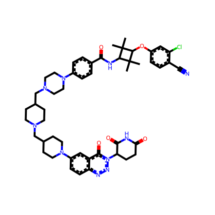 CC1(C)C(NC(=O)c2ccc(N3CCN(CC4CCN(CC5CCN(c6ccc7nnn(C8CCC(=O)NC8=O)c(=O)c7c6)CC5)CC4)CC3)cc2)C(C)(C)C1Oc1ccc(C#N)c(Cl)c1